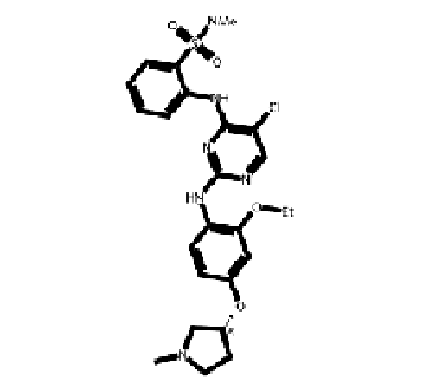 CCOc1cc(O[C@@H]2CCN(C)C2)ccc1Nc1ncc(Cl)c(Nc2ccccc2S(=O)(=O)NC)n1